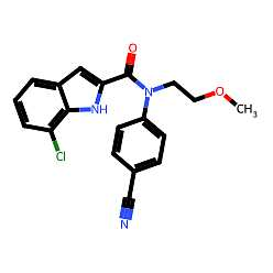 COCCN(C(=O)c1cc2cccc(Cl)c2[nH]1)c1ccc(C#N)cc1